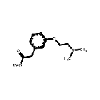 COC(=O)Cc1cccc(OCCN(C)C)c1